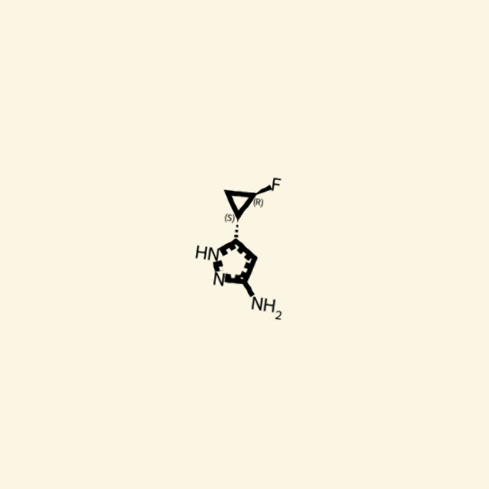 Nc1cc([C@@H]2C[C@H]2F)[nH]n1